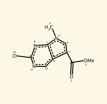 COC(=O)c1cn(C)c2nc(Cl)ncc12